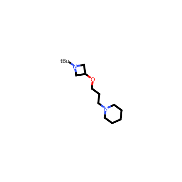 CC(C)(C)N1CC(OCCCN2CCCCC2)C1